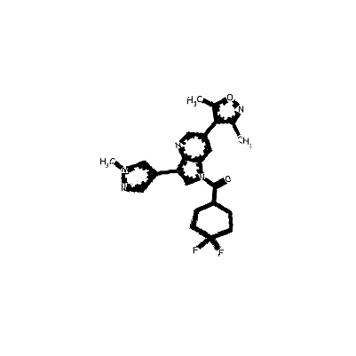 Cc1noc(C)c1-c1cnc2c(-c3cnn(C)c3)cn(C(=O)C3CCC(F)(F)CC3)c2c1